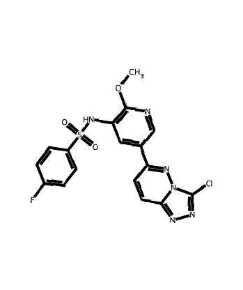 COc1ncc(-c2ccc3nnc(Cl)n3n2)cc1NS(=O)(=O)c1ccc(F)cc1